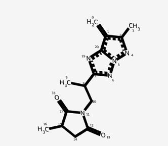 C=c1c(C)nn2nc(C(C)CN3C(=O)CC(C)C3=O)nc12